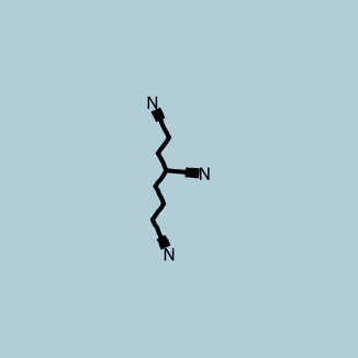 N#CCCCC(C#N)CCC#N